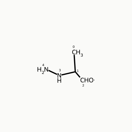 CC([C]=O)NN